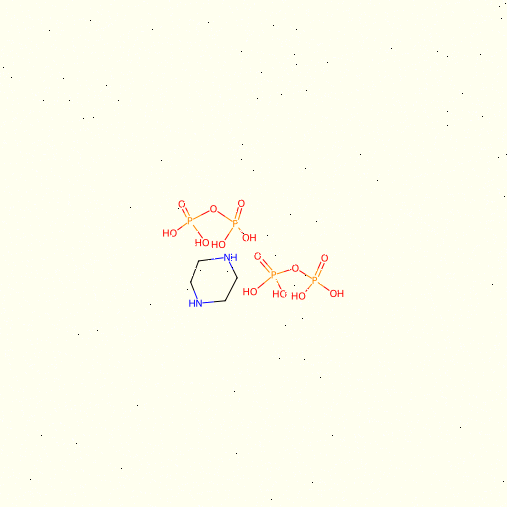 C1CNCCN1.O=P(O)(O)OP(=O)(O)O.O=P(O)(O)OP(=O)(O)O